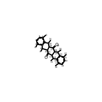 Cc1ccc(C)c2c1C(C)C1C(=O)C3C(C)c4c(C)ccc(C)c4C(C)C3C(=O)C1C2C